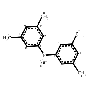 Cc1cc(C)cc([P-]c2cc(C)cc(C)c2)c1.[Na+]